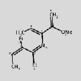 C=C(OC)C(=C/C)/N=C(CC)\C(=C/C)CC